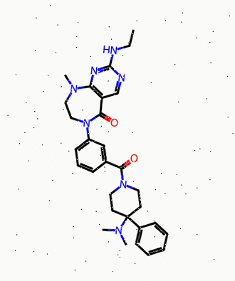 CCNc1ncc2c(n1)N(C)CCN(c1cccc(C(=O)N3CCC(c4ccccc4)(N(C)C)CC3)c1)C2=O